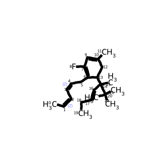 C/C=C\C=C/CC1=C(F)C=C(C)CC1C(C)(C=CCC)C(C)(C)C